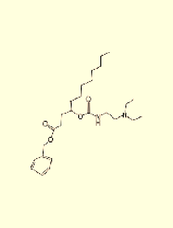 CCCCCCCCC(CCC(=O)OCc1ccccc1)OC(=O)NCCN(CC)CC